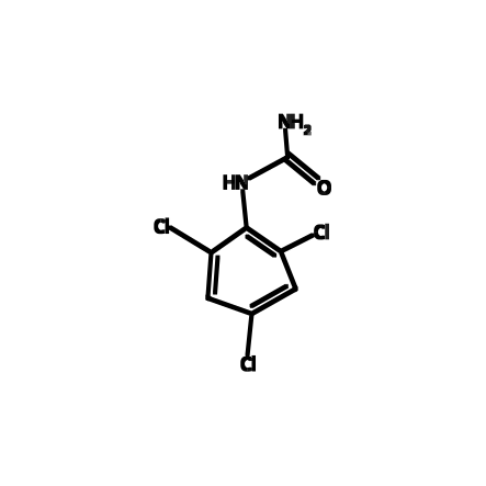 NC(=O)Nc1c(Cl)cc(Cl)cc1Cl